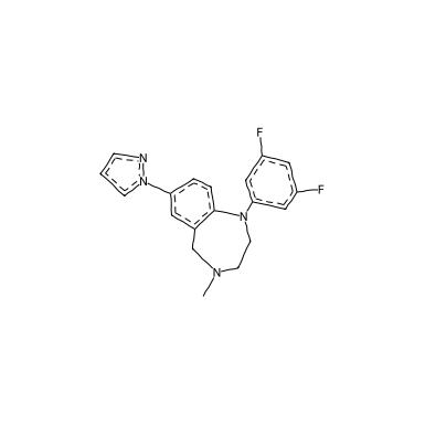 CN1CCN(c2cc(F)cc(F)c2)c2ccc(-n3cccn3)cc2C1